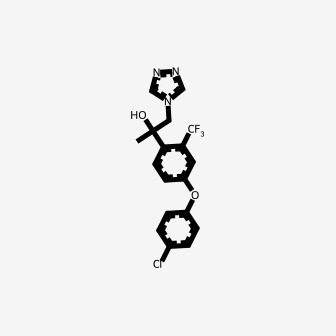 CC(O)(Cn1cnnc1)c1ccc(Oc2ccc(Cl)cc2)cc1C(F)(F)F